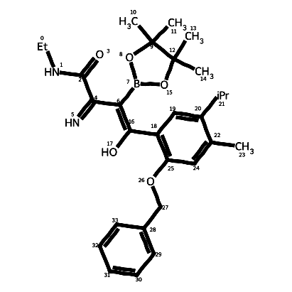 CCNC(=O)C(=N)/C(B1OC(C)(C)C(C)(C)O1)=C(\O)c1cc(C(C)C)c(C)cc1OCc1ccccc1